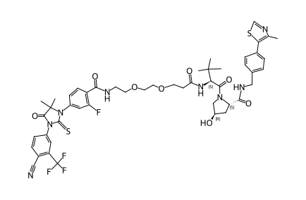 Cc1ncsc1-c1ccc(CNC(=O)[C@@H]2C[C@@H](O)CN2C(=O)[C@@H](NC(=O)CCOCCOCCNC(=O)c2ccc(N3C(=S)N(c4ccc(C#N)c(C(F)(F)F)c4)C(=O)C3(C)C)cc2F)C(C)(C)C)cc1